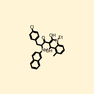 CCN1C(O)=C(C(=O)C(Cc2ccc(Cl)cc2)Nc2ccc3ccccc3c2)C(O)c2c(C)cccc21